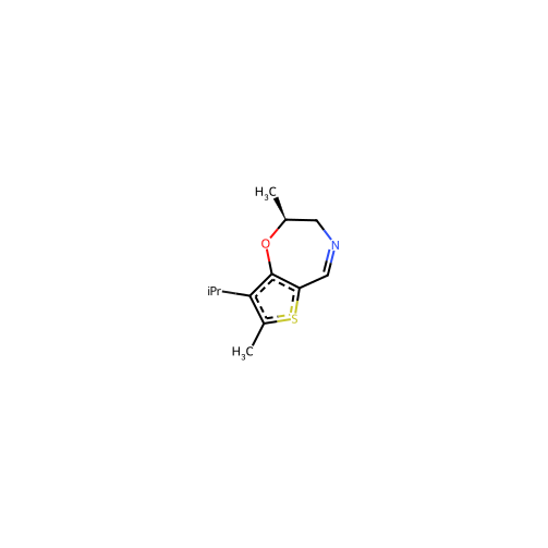 Cc1sc2c(c1C(C)C)O[C@@H](C)CN=C2